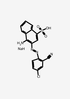 N#Cc1cc(Cl)ccc1N=Nc1cc(S(=O)(=O)O)c2ccccc2c1N.[NaH]